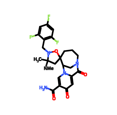 CNC1(C)CC2(CCCN3CC2n2cc(C(N)=O)c(=O)cc2C3=O)ON1Cc1c(F)cc(F)cc1F